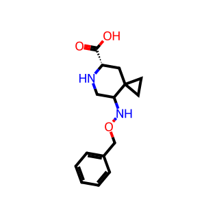 O=C(O)[C@@H]1CC2(CC2)C(NOCc2ccccc2)CN1